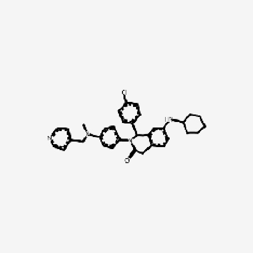 CN(Cc1ccncc1)c1ccc(N2C(=O)Cc3ccc(NC4CCCCC4)cc3C2c2ccc(Cl)cc2)cc1